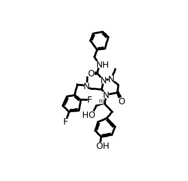 CN(Cc1ccc(F)cc1F)CC1N([C@H](CO)Cc2ccc(O)cc2)C(=O)CN(C)N1C(=O)NCc1ccccc1